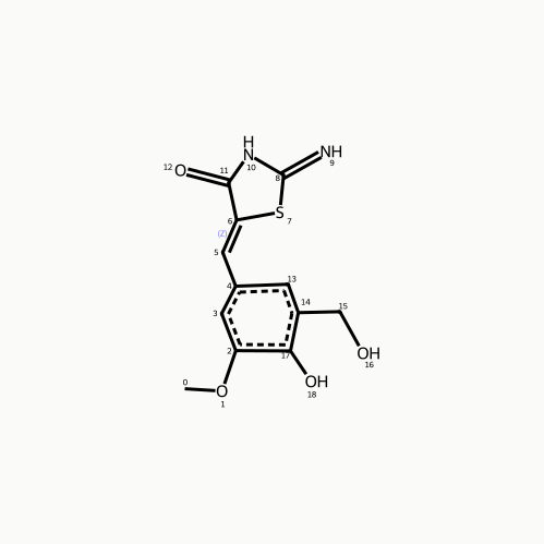 COc1cc(/C=C2\SC(=N)NC2=O)cc(CO)c1O